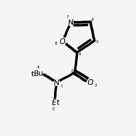 CCN(C(=O)c1ccno1)C(C)(C)C